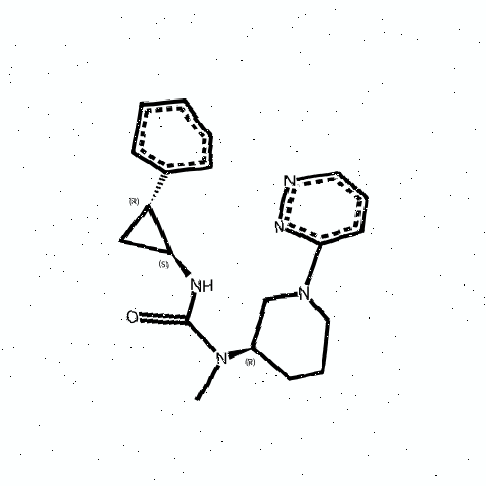 CN(C(=O)N[C@H]1C[C@@H]1c1ccccc1)[C@@H]1CCCN(c2cccnn2)C1